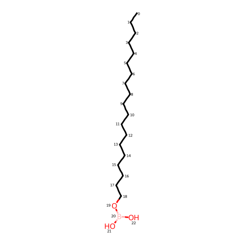 CCCCCCCCCCCCCCCCCCCOB(O)O